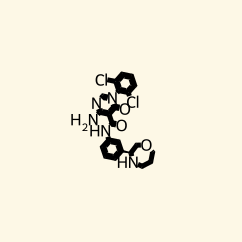 Nc1ncn(-c2c(Cl)cccc2Cl)c(=O)c1C(=O)Nc1cccc([C@H]2COCCCN2)c1